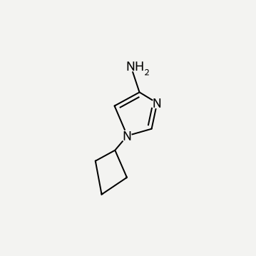 Nc1cn(C2CCC2)cn1